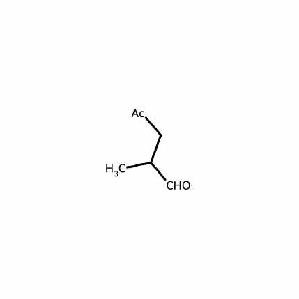 CC(=O)CC(C)[C]=O